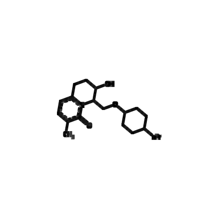 CCCC1CCC(OCC2C(O)CCc3ccc(C)c(=O)n32)CC1